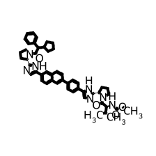 COC(=O)N[C@H](C(=O)N1CCC[C@H]1c1ncc(-c2ccc(-c3ccc4cc(-c5cnc([C@@H]6CCCN6C(=O)C(c6ccccc6)C6CCCC6)[nH]5)ccc4c3)cc2)[nH]1)C(C)C